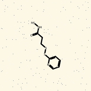 O=C(CCSSc1ccccn1)NS